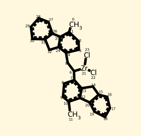 Cc1ccc(C[CH](c2ccc(C)c3c2Cc2ccccc2-3)[Zr]([Cl])[Cl])c2c1-c1ccccc1C2